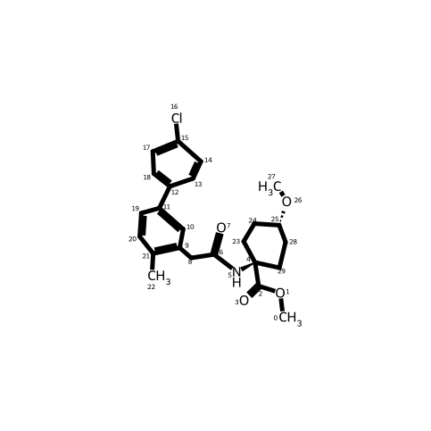 COC(=O)[C@]1(NC(=O)Cc2cc(-c3ccc(Cl)cc3)ccc2C)CC[C@H](OC)CC1